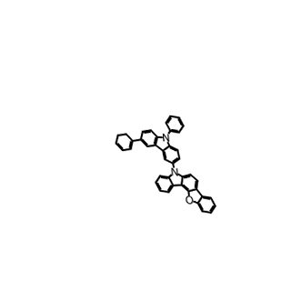 C1=CCCC(c2ccc3c(c2)c2cc(-n4c5ccccc5c5c6oc7ccccc7c6ccc54)ccc2n3-c2ccccc2)=C1